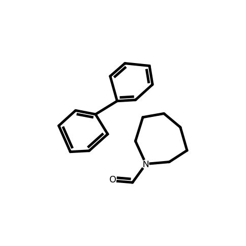 O=CN1CCCCCC1.c1ccc(-c2ccccc2)cc1